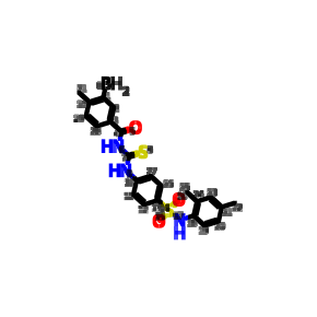 Bc1cc(C(=O)NC(=S)Nc2ccc(S(=O)(=O)Nc3ccc(C)cc3C)cc2)ccc1C